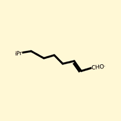 CC(C)CCCC/C=C/[C]=O